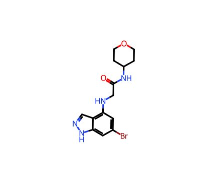 O=C(CNc1cc(Br)cc2[nH]ncc12)NC1CCOCC1